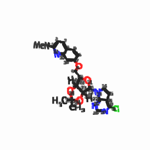 CNc1ccc2ccc(OC[C@H]3O[C@@H](n4ccc5c(Cl)ncnc54)[C@@H]4OC(C)(C)O[C@@H]43)cc2n1